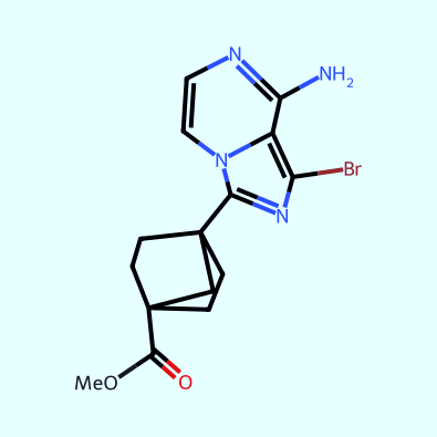 COC(=O)C12CCC(c3nc(Br)c4c(N)nccn34)(CC1)C2